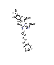 CN\C=N/C(=C/COC)C(=C\COCCCCN1CCCOCC1)/C(C)Nc1ccc(CF)c(C)c1